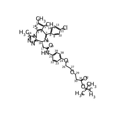 Cc1sc2c(c1C)C(c1ccc(Cl)cc1)=N[C@@H](CC(=O)Nc1ccc(OCCOCCC(=O)OC(C)(C)C)cc1)c1nnc(C)n1-2